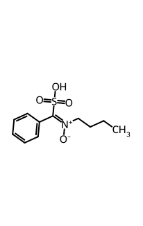 CCCC[N+]([O-])=C(c1ccccc1)S(=O)(=O)O